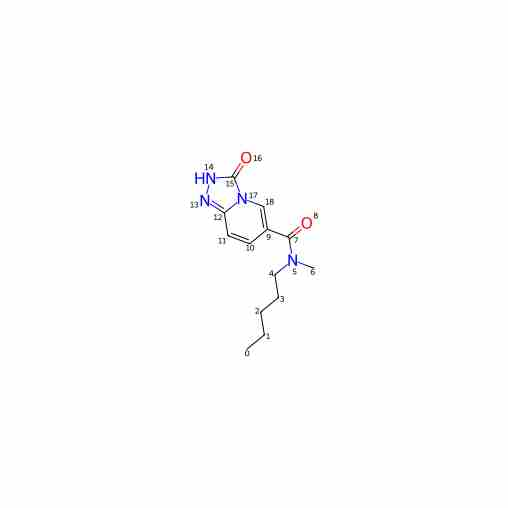 CCCCCN(C)C(=O)c1ccc2n[nH]c(=O)n2c1